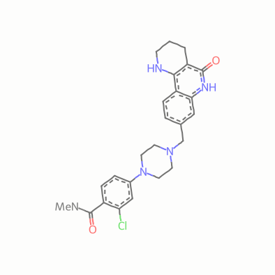 CNC(=O)c1ccc(N2CCN(Cc3ccc4c5c(c(=O)[nH]c4c3)CCCN5)CC2)cc1Cl